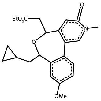 CCOC(=O)CC1OC(CC2CC2)c2cc(OC)ccc2-c2cn(C)c(=O)cc21